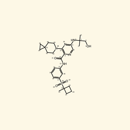 CC(C)(CO)Nc1cnc(C(=O)Nc2cccc(S(=O)(=O)C3(C)CCC3)c2)c(N2CCC3(CC2)CC3)n1